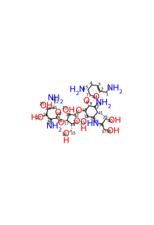 NCC1=CC[C@@H](N)[C@@H](O[C@H]2[C@H](O[C@@H]3O[C@H](CO)[C@@H](O[C@H]4O[C@@H](CN)[C@@H](O)[C@H](O)[C@H]4N)[C@H]3O)[C@@H](O)[C@H](NC(CO)CO)C[C@@H]2N)O1